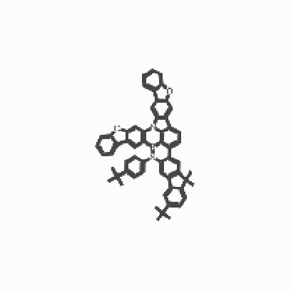 CC(C)(C)c1ccc(N2B3c4cc5c(cc4-n4c6cc7c(cc6c6ccc(c3c64)-c3cc4c(cc32)-c2cc(C(C)(C)C)ccc2C4(C)C)oc2ccccc27)oc2ccccc25)cc1